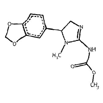 COC(=O)NC1=NCC(c2ccc3c(c2)OCO3)N1C